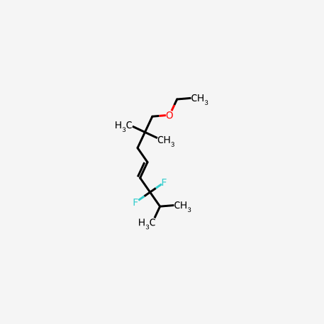 CCOCC(C)(C)C/C=C/C(F)(F)C(C)C